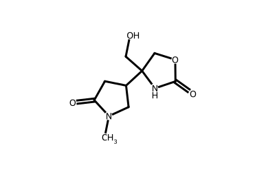 CN1CC(C2(CO)COC(=O)N2)CC1=O